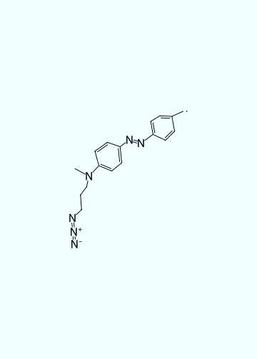 [CH2]c1ccc(/N=N/c2ccc(N(C)CCCN=[N+]=[N-])cc2)cc1